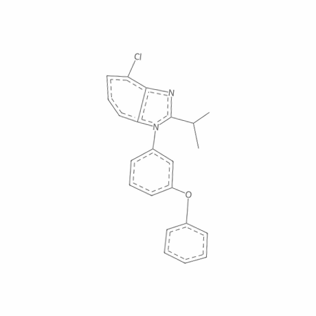 CC(C)c1nc2c(Cl)cccc2n1-c1cccc(Oc2ccccc2)c1